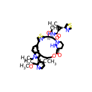 CCO[C@@H]1c2nc(cs2)-c2ccc3c(c2)c(c(-c2cccnc2[C@H](C)OC)n3CC)CC(C)(C)COC(=O)[C@@H]2CCCN(N2)C(=O)[C@H]1NC(=O)[C@H]1[C@H](C)[C@@H]1c1cscn1